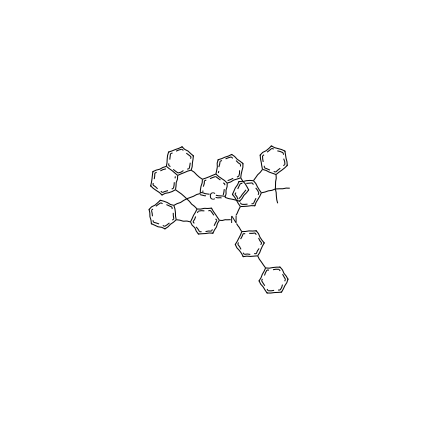 CC1(C)c2ccccc2-c2ccc(N(c3ccc(-c4ccccc4)cc3)c3ccc4c(c3)C3(c5ccccc5-4)c4cc5c6c(cccc6c4-c4cccc6cccc3c46)C=C5)cc21